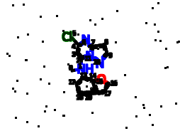 CNc1cc(Cl)nc2ccnn12.c1cc2occ3c1cc23